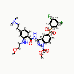 COCCNc1cc(CCN(C)C)ccc1C(=O)Nc1nn(C(=O)OC)c2ccc(S(=O)(=O)c3cc(F)cc(F)c3)cc12